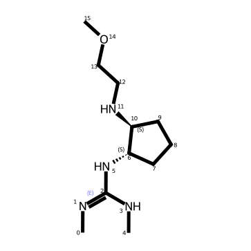 C/N=C(\NC)N[C@H]1CCC[C@@H]1NCCOC